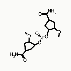 COC1CC(C(N)=O)CC1O[N+](=O)OC1CC(C(N)=O)CC1OC